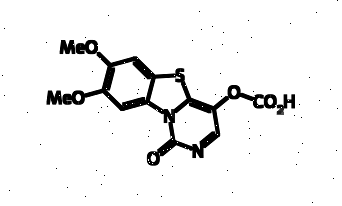 COc1cc2sc3c(OC(=O)O)cnc(=O)n3c2cc1OC